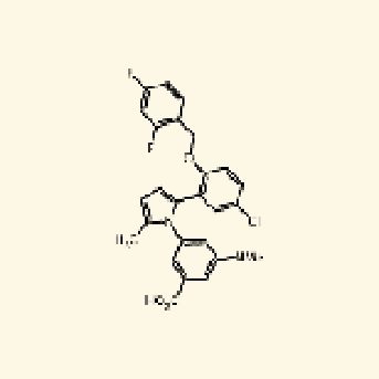 CNc1cc(C(=O)O)cc(-n2c(C)ccc2-c2cc(Cl)ccc2OCc2ccc(F)cc2F)c1